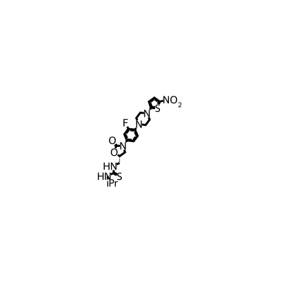 CC(C)NC(=S)NC[C@H]1CN(c2ccc(N3CCN(c4ccc([N+](=O)[O-])s4)CC3)c(F)c2)C(=O)O1